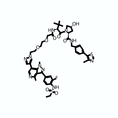 CCS(=O)(=O)Nc1ccc(-c2nn(C)c3c(-c4cnn(CCOCCOCC(=O)N[C@H](C(=O)N5C[C@H](O)C[C@H]5C(=O)NCc5ccc(-c6scnc6C)cc5)C(C)(C)C)c4)cnc(C)c23)cc1F